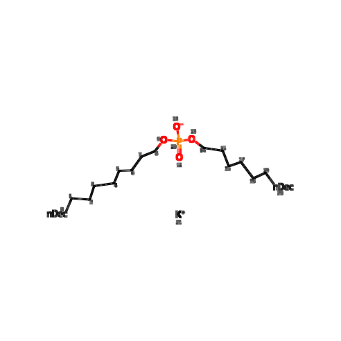 CCCCCCCCCCCCCCCCCCOP(=O)([O-])OCCCCCCCCCCCCCCCC.[K+]